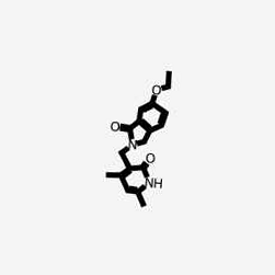 CCOc1ccc2c(c1)C(=O)N(Cc1c(C)cc(C)[nH]c1=O)C2